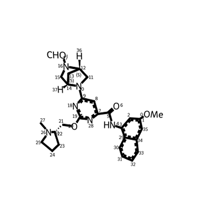 COc1cc(NC(=O)c2cc(N3C[C@@H]4C[C@H]3CN4[C]=O)nc(OC[C@@H]3CCCN3C)n2)c2ccccc2c1